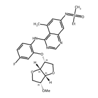 CCS(C)(=O)=Nc1cc(C)c2c(Nc3ccc(F)cc3O[C@@H]3CO[C@H]4[C@@H]3OC[C@H]4OC)ncnc2c1